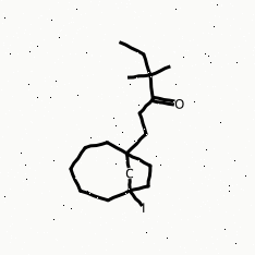 CCC(C)(C)C(=O)CCC12CCCCCC(I)(CC1)C2